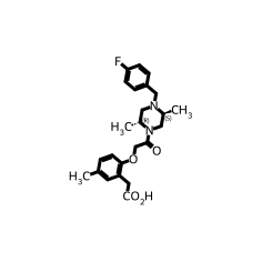 Cc1ccc(OCC(=O)N2C[C@H](C)N(Cc3ccc(F)cc3)C[C@H]2C)c(CC(=O)O)c1